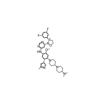 COc1cc(N2CCC(N3CCC(N(C)C)CC3)CC2)c(-c2cnn(C)c2)cc1Nc1cc(N2OCC[C@@H]2c2cc(F)cc(F)c2)ncn1